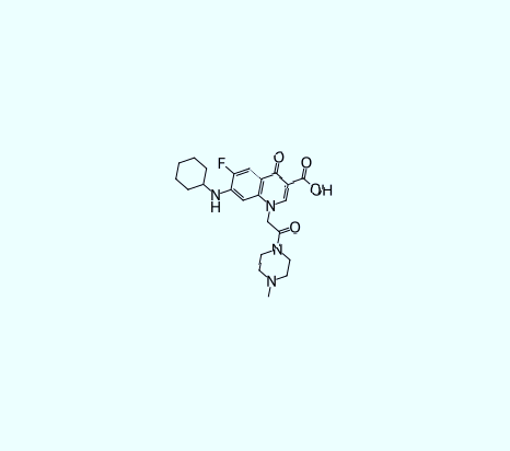 CN1CCN(C(=O)Cn2cc(C(=O)O)c(=O)c3cc(F)c(NC4CCCCC4)cc32)CC1